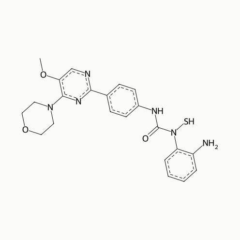 COc1cnc(-c2ccc(NC(=O)N(S)c3ccccc3N)cc2)nc1N1CCOCC1